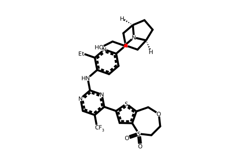 CCc1nc(N2C[C@H]3CC[C@@H](C2)N3CCO)ccc1Nc1ncc(C(F)(F)F)c(-c2cc3c(s2)COCCS3(=O)=O)n1